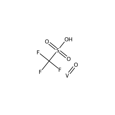 O=S(=O)(O)C(F)(F)F.[O]=[V]